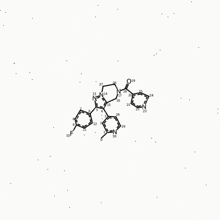 Cc1cc(-c2c(-c3ccc(F)cc3)nn3c2CN(C(=O)c2ccncc2)CC3)ccn1